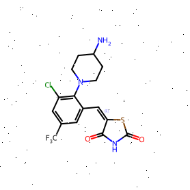 NC1CCN(c2c(Cl)cc(C(F)(F)F)cc2/C=C2/SC(=O)NC2=O)CC1